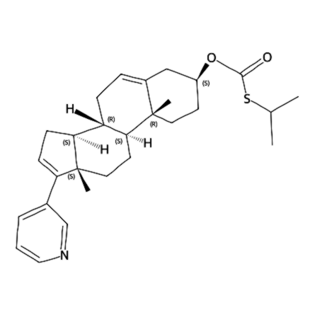 CC(C)SC(=O)O[C@H]1CC[C@@]2(C)C(=CC[C@@H]3[C@@H]2CC[C@]2(C)C(c4cccnc4)=CC[C@@H]32)C1